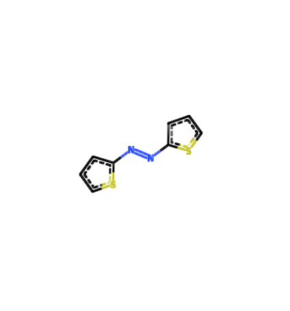 c1csc(N=Nc2cccs2)c1